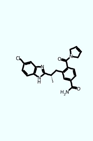 C[C@@H](Cc1cc(C(N)=O)ccc1C(=O)N1CC=CC1)c1nc2cc(Cl)ccc2[nH]1